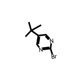 CC(C)(C)c1cnc(Br)nc1